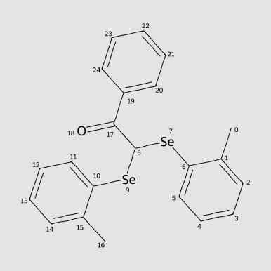 Cc1ccccc1[Se]C([Se]c1ccccc1C)C(=O)c1ccccc1